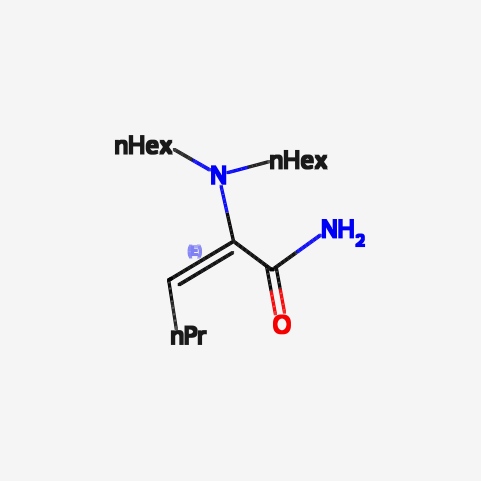 CCC/C=C(\C(N)=O)N(CCCCCC)CCCCCC